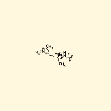 C/C=C(\C=C(/C)NCC(F)(F)F)C(N)C/C=C/C(=C/NC)CCC